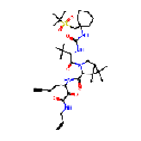 C#CCCC(NC(=O)[C@@H]1[C@@H]2C(CN1C(=O)[C@@H](NC(=O)NC1(CS(=O)(=O)C(C)(C)C)CCCCC1)C(C)(C)C)C2(C)C)C(=O)C(=O)NCC=C